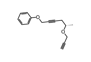 C#CCO[C@@H](C)CC#CCOc1ccccc1